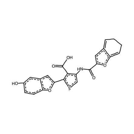 O=C(Nc1csc(-c2cc3cc(O)ccc3o2)c1C(=O)O)c1cc2c(o1)=CCCC=2